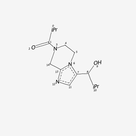 CC(C)C(=O)N1CCn2c(C(O)C(C)C)cnc2C1